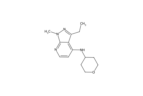 CCc1nn(C)c2nccc(NC3CCOCC3)c12